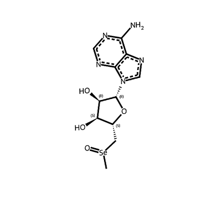 C[Se](=O)C[C@H]1O[C@@H](n2cnc3c(N)ncnc32)[C@H](O)[C@@H]1O